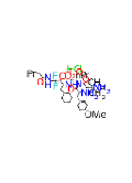 CCC[C@@H](C(=O)NC(CC1CCCCC1)C(=O)C(F)(F)CNC(=O)CC(C)C)N(C(=O)CC(C)(C)N)C(=O)[C@@H](N)Cc1ccc(OC)cc1.Cl.O